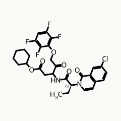 CC[C@@H](C(=O)NC(CC(=O)OC1CCCCC1)C(=O)COc1c(F)c(F)cc(F)c1F)n1ccc2ccc(Cl)cc2c1=O